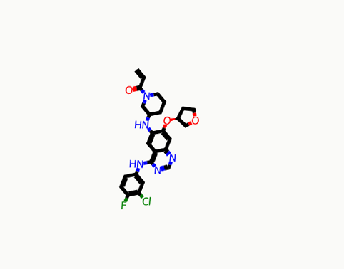 C=CC(=O)N1CCCC(Nc2cc3c(Nc4ccc(F)c(Cl)c4)ncnc3cc2O[C@H]2CCOC2)C1